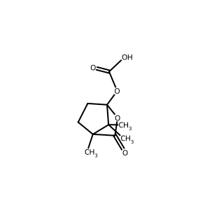 CC12CCC(OC(=O)O)(OC1=O)C2(C)C